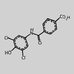 O=C(O)c1ccc(C(=O)Nc2cc(Cl)c(O)c(Cl)c2)cc1